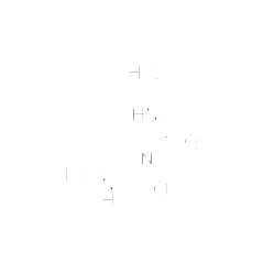 CCNC(=O)N(C)CNC